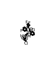 O=C(NC1CC(F)(F)C1)C(c1ccccc1Cl)N(C(=O)CNNS(=O)(=O)CCCl)c1cccc(F)c1